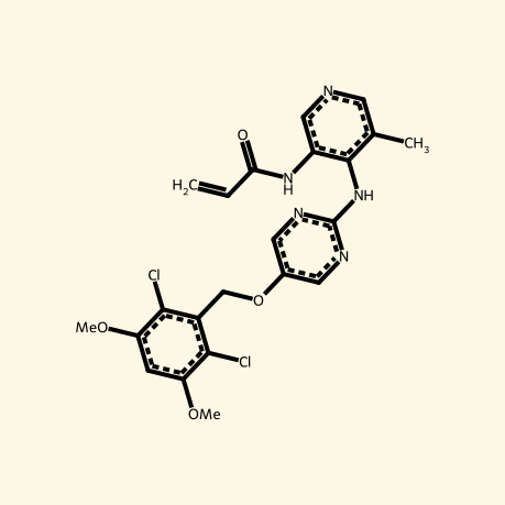 C=CC(=O)Nc1cncc(C)c1Nc1ncc(OCc2c(Cl)c(OC)cc(OC)c2Cl)cn1